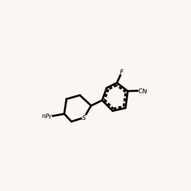 CCCC1CCC(c2ccc(C#N)c(F)c2)SC1